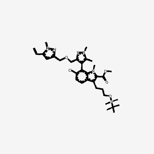 C=Cc1cc(COCc2nn(C)c(C)c2-c2c(Cl)ccc3c(CCCO[Si](C)(C)C(C)(C)C)c(C(=O)OC)n(C)c23)nn1C